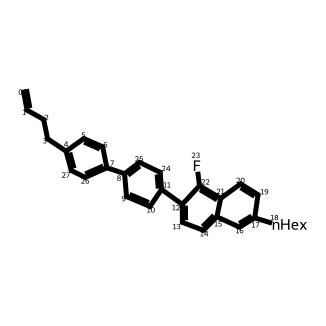 C=CCCc1ccc(-c2ccc(-c3ccc4cc(CCCCCC)ccc4c3F)cc2)cc1